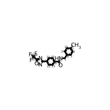 Cc1ccc(CNC(=O)c2ccc(-c3noc(C(F)(F)F)n3)cc2)cc1